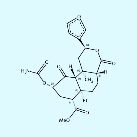 CC[C@@]12CC[C@H]3C(=O)O[C@H](c4ccoc4)C[C@]3(C)[C@H]1C(=O)[C@@H](OC(N)=O)C[C@H]2C(=O)OC